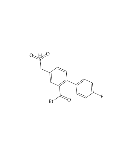 CCC(=O)c1cc(C[SH](=O)=O)ccc1-c1ccc(F)cc1